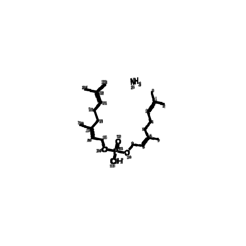 CC(C)=CCC/C(C)=C\COP(=O)(O)OC/C=C(/C)CCC=C(C)C.N